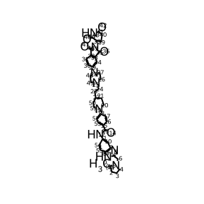 C[C@H]1CCCN1Cc1nc2cc(NC(=O)c3ccc(N4CCC(CCN5CCN(c6ccc7c(c6)C(=O)N(C6CCC(=O)NC6=O)C7=O)CC5)CC4)cc3)ccc2[nH]1